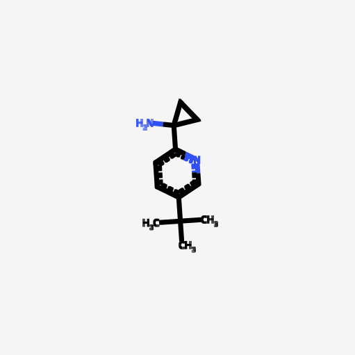 CC(C)(C)c1ccc(C2(N)CC2)nc1